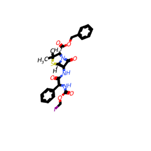 CC1(C)S[C@@H]2C(NC(=O)C(NC(=O)OCI)c3ccccc3)C(=O)N2[C@H]1C(=O)OCc1ccccc1